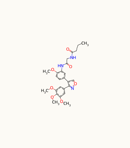 CCCC(=O)NCC(=O)Nc1cc(-c2conc2-c2cc(OC)c(OC)c(OC)c2)ccc1OC